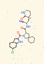 N#CC(C[C@@H]1CCCNC1=O)NC(=O)C1CC2(CCCCC2)CN1C(=O)c1cc2ccc(Cl)cc2[nH]1